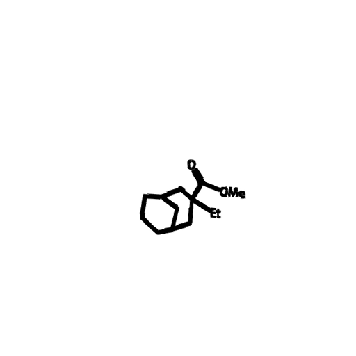 CCC1(C(=O)OC)CC2CCCC(C2)C1